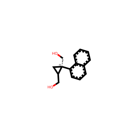 OCC1C[C@@]1(CO)c1cccc2ccccc12